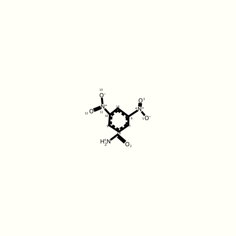 NC=O.O=[N+]([O-])c1cccc([N+](=O)[O-])c1